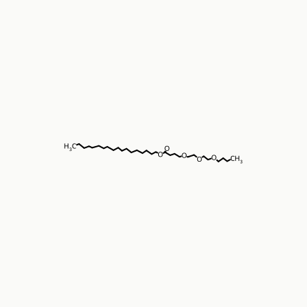 CCCCCCCCCCCCCCCCCCOC(=O)CCCOCCOCCOCCCC